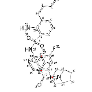 C=C/C=C\c1cccc(S(=O)(=O)Nc2ccc(C(=O)N3CC4CCC(C3)N4Cc3cc(F)cc(F)c3)cc2)c1N